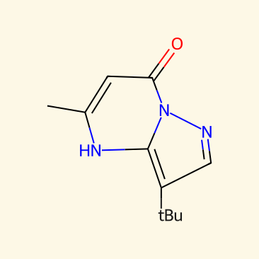 Cc1cc(=O)n2ncc(C(C)(C)C)c2[nH]1